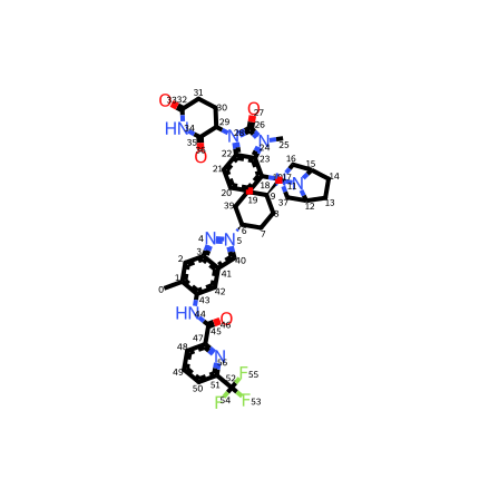 Cc1cc2nn([C@H]3CC[C@H](CN4C5CCC4CN(c4cccc6c4n(C)c(=O)n6C4CCC(=O)NC4=O)C5)CC3)cc2cc1NC(=O)c1cccc(C(F)(F)F)n1